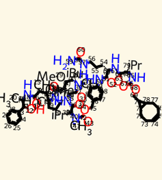 CC[C@H](C)[C@@H]([C@@H](CC(=O)N1CCC[C@@]1(C)[C@H](OC)[C@@H](C)C(=O)N[C@H](C)[C@@H](O)c1ccccc1)OC)N(C)C(=O)[C@@H](NC(=O)[C@H](C(C)C)N(C)C(=O)OCc1ccc(NC(=O)[C@H](CCCNC(N)=O)NC(=O)[C@@H](NC(=O)OCC2C3CCC#CCCC32)C(C)C)cc1)C(C)C